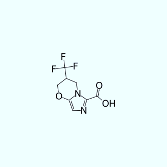 O=C(O)c1ncc2n1CC(C(F)(F)F)CO2